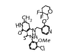 COc1c(Cl)cccc1NC(=S)C1=C(NCc2ccncc2OCC2OCCCC2(F)F)C[C@@H](C)NC1=O